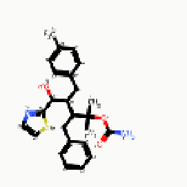 CC(C)(OC(N)=O)C(Cc1ccccc1)C(Cc1ccc(C(F)(F)F)cc1)C(O)c1nccs1